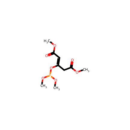 COC(=O)C=C(CC(=O)OC)OP(OC)OC